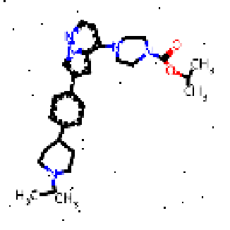 CC(C)OC(=O)N1CCN(c2ccnn3cc(-c4ccc(C5CCN(C(C)C)CC5)cc4)cc23)CC1